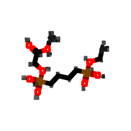 CC(=O)COS(=O)(=O)CCCCS(=O)(=O)OCC(=O)OC(C)(C)C